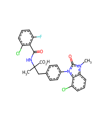 Cn1c(=O)n(-c2ccc(CC(C)(NC(=O)c3c(F)cccc3Cl)C(=O)O)cc2)c2c(Cl)cccc21